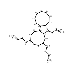 C=CCOC1CCC(OCC=C)CC(OCC=C)C(C2CCCCCCCC2)CC1